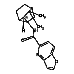 CC1(C)[C@H](NC(=O)c2ccc3occc3n2)C2CCN1CC2